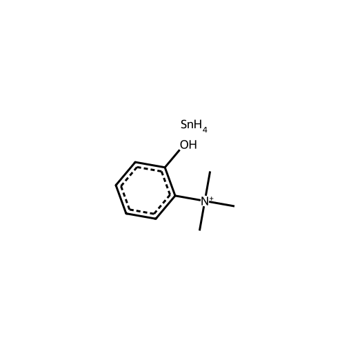 C[N+](C)(C)c1ccccc1O.[SnH4]